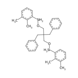 Cc1cccc([SiH2]OCC(CO[SiH2]c2cccc(C)c2C)(Cc2ccccc2)Cc2ccccc2)c1C